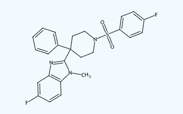 Cn1c(C2(c3ccccc3)CCN(S(=O)(=O)c3ccc(F)cc3)CC2)nc2cc(F)ccc21